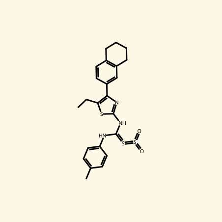 CCc1sc(NC(Nc2ccc(C)cc2)=S=S(=O)=O)nc1-c1ccc2c(c1)CCCC2